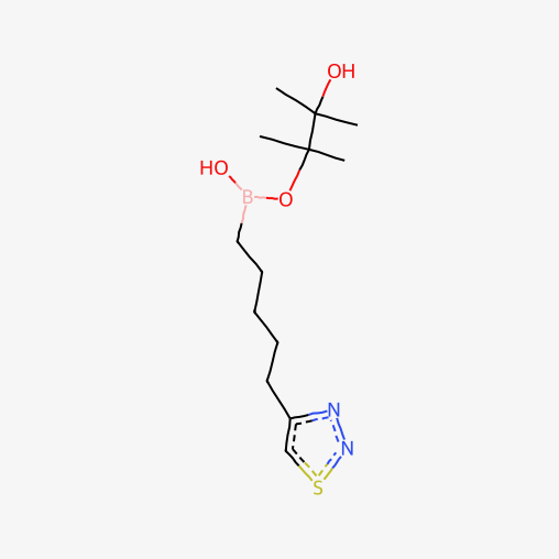 CC(C)(O)C(C)(C)OB(O)CCCCCc1csnn1